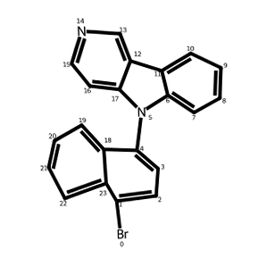 Brc1ccc(-n2c3ccccc3c3cnccc32)c2ccccc12